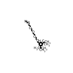 CC(C)(C)c1cc(COCCOCCOCCOCCN=[N+]=[N-])cc(C(C)(C)C)c1